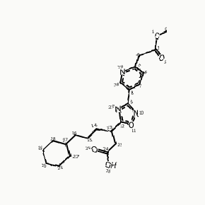 COC(=O)Cc1ccc(-c2noc([C@H](CCCC3CCCCC3)CC(=O)O)n2)cn1